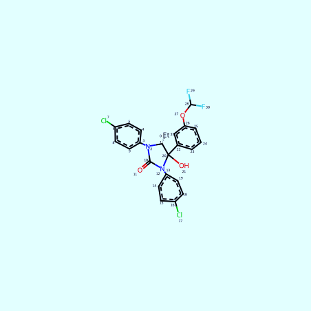 CC[C@H]1N(c2ccc(Cl)cc2)C(=O)N(c2ccc(Cl)cc2)C1(O)c1cccc(OC(F)F)c1